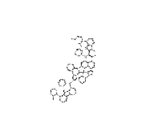 C=C/C=C\C(=C(C)C)c1cccc2c1oc1c(N(c3ccccc3)c3cc4c(c5ccccc35)C3(c5ccccc5-c5ccccc53)c3c-4c4ccccc4c4cc(N(c5ccccc5)c5cccc6c5oc5c(-c7ccccc7C)cccc56)ccc34)cccc12